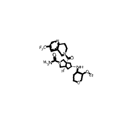 CCOC1COCCC1N[C@@H]1C[C@H]2CN(C(N)=O)C[C@@]2(C(=O)N2CCc3ncc(C(F)(F)F)cc3C2)C1